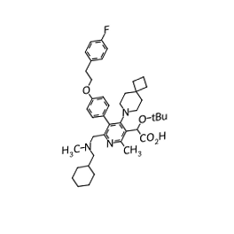 Cc1nc(CN(C)CC2CCCCC2)c(-c2ccc(OCCc3ccc(F)cc3)cc2)c(N2CCC3(CCC3)CC2)c1C(OC(C)(C)C)C(=O)O